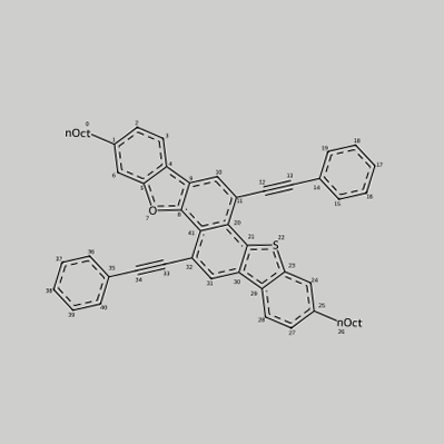 CCCCCCCCc1ccc2c(c1)oc1c2cc(C#Cc2ccccc2)c2c3sc4cc(CCCCCCCC)ccc4c3cc(C#Cc3ccccc3)c12